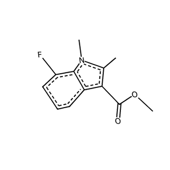 COC(=O)c1c(C)n(C)c2c(F)cccc12